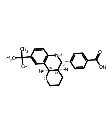 CC(C)(C)c1ccc2c(c1)[C@@H]1OCCC[C@@H]1[C@@H](c1ccc(C(=O)O)cc1)N2